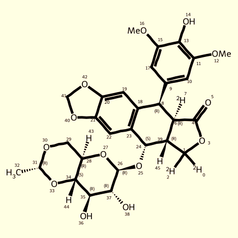 [2H]C1([2H])OC(=O)[C@]2([2H])[C@H](c3cc(OC)c(O)c(OC)c3)c3cc4c(cc3[C@@H](O[C@@H]3O[C@@H]5CO[C@@H](C)O[C@H]5[C@H](O)[C@H]3O)[C@@H]12)OCO4